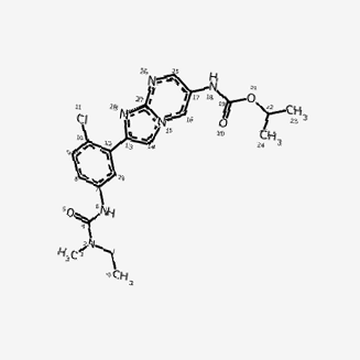 CCN(C)C(=O)Nc1ccc(Cl)c(-c2cn3cc(NC(=O)OC(C)C)cnc3n2)c1